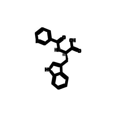 O=C(N[C@@H](Cc1c[nH]c2ccccc12)C(=O)O)c1cccnc1